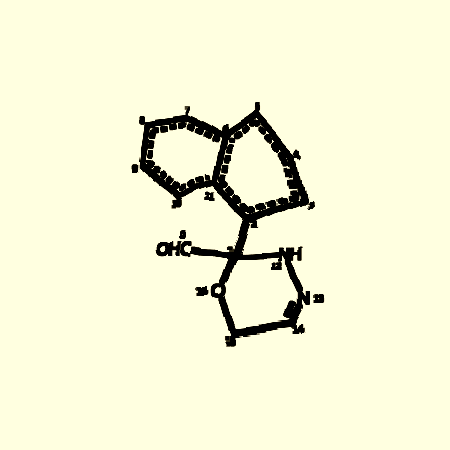 O=CC1(c2cccc3ccccc23)NN=CCO1